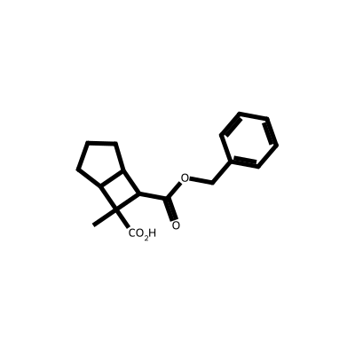 CC1(C(=O)O)C2CCCC2C1C(=O)OCc1ccccc1